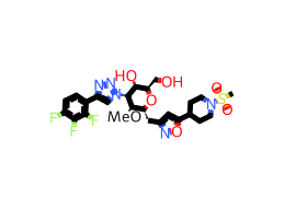 CO[C@@H]1[C@@H](n2cc(-c3ccc(F)c(F)c3F)nn2)[C@@H](O)[C@@H](CO)O[C@@H]1Cc1cc(C2CCN(S(C)(=O)=O)CC2)on1